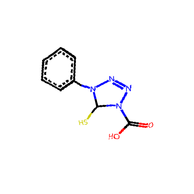 O=C(O)N1N=NN(c2ccccc2)C1S